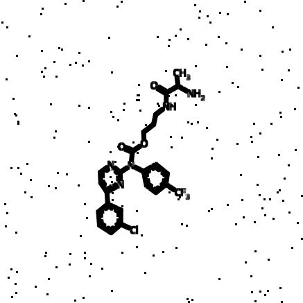 CC(N)C(=O)NCCCOC(=O)N(c1ccc(C(F)(F)F)cc1)c1nccc(-c2cccc(Cl)c2)n1